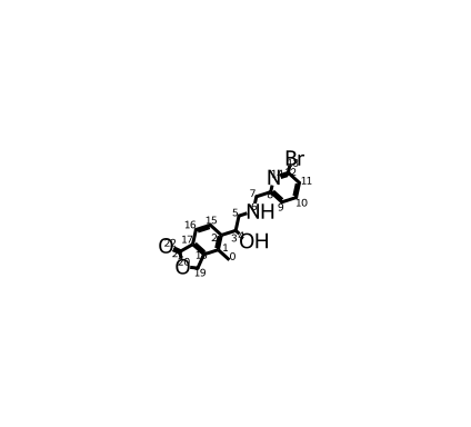 Cc1c(C(O)CNCc2cccc(Br)n2)ccc2c1COC2=O